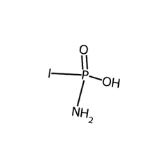 NP(=O)(O)I